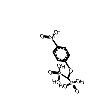 O=[N+]([O-])c1ccc(OC(P(=O)(O)O)P(=O)(O)O)cc1